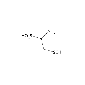 NC(CS(=O)(=O)O)S(=O)(=O)O